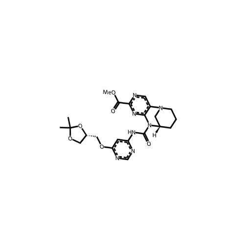 COC(=O)c1ncc2c(n1)N(C(=O)Nc1cc(OC[C@@H]3COC(C)(C)O3)ncn1)[C@H]1CCCN2C1